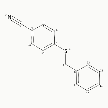 N#Cc1[c]cc(SCc2ccccc2)cc1